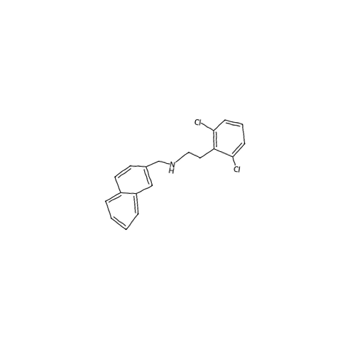 Clc1cccc(Cl)c1CCNCc1ccc2ccccc2c1